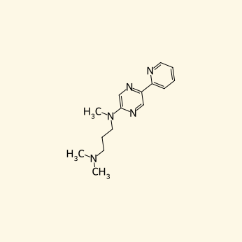 CN(C)CCCN(C)c1cnc(-c2ccccn2)cn1